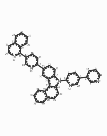 c1cncc(-c2ccc(-n3c4ccc(-c5ccc(-c6nccc7ccccc67)cn5)cc4c4c5ccccc5ccc43)nc2)c1